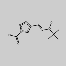 CC(C)(C)[S+]([O-])/N=C/c1cnn(C(=O)O)c1